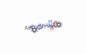 CC(=O)N1CCc2c(N3CCN(CCCCNC(=O)C4=Cc5ccccc5OC4)CC3)cccc21